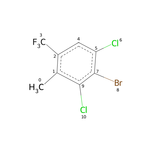 Cc1c(C(F)(F)F)cc(Cl)c(Br)c1Cl